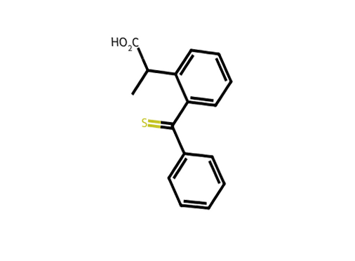 CC(C(=O)O)c1ccccc1C(=S)c1ccccc1